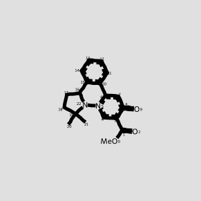 COC(=O)c1cn2c(cc1=O)-c1ccccc1C1CCC(C)(C)N12